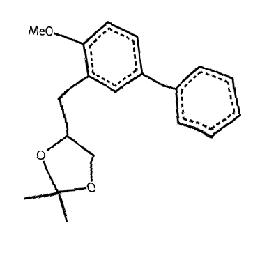 COc1ccc(-c2ccccc2)cc1CC1COC(C)(C)O1